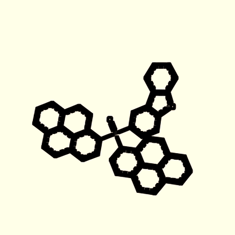 O=P(c1ccc2oc3ccccc3c2c1)(c1ccc2ccc3cccc4ccc1c2c34)c1ccc2ccc3cccc4ccc1c2c34